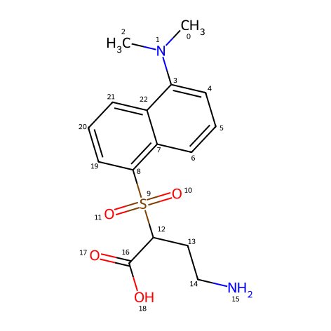 CN(C)c1cccc2c(S(=O)(=O)C(CCN)C(=O)O)cccc12